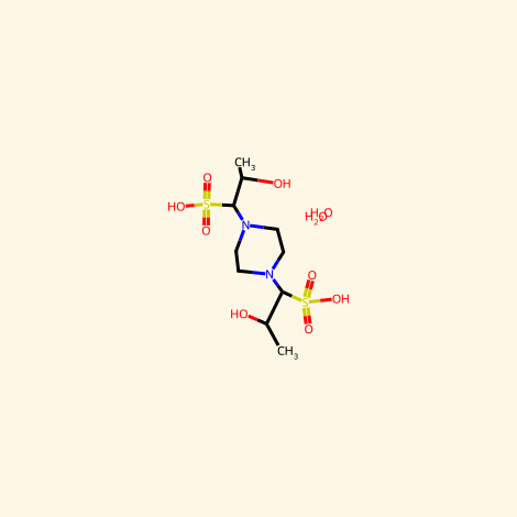 CC(O)C(N1CCN(C(C(C)O)S(=O)(=O)O)CC1)S(=O)(=O)O.O.O